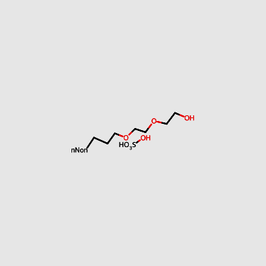 CCCCCCCCCCCCOCCOCCO.O=S(=O)(O)O